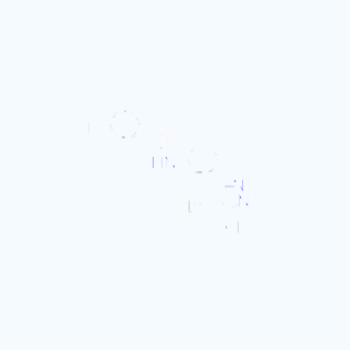 Cc1[nH]nc(-c2cccc(NC(=O)Cc3cccc(F)c3)c2)c1Br